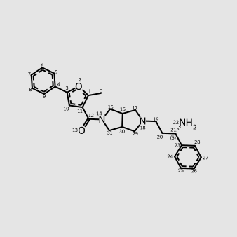 Cc1oc(-c2ccccc2)cc1C(=O)N1CC2CN(CC[C@H](N)c3ccccc3)CC2C1